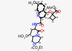 CCOC(=O)N1CCN(C(=O)C(CCC(=O)O)NC(=O)c2cc(OC3(C(=O)OC)CCC3)c3ccc(C)cc3n2)CC1